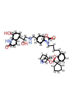 O=C(O[C@H]1CN2CCC1CC2)C1(c2cccc(CCCCn3c(=O)oc4cc(CNC[C@H](O)c5ccc(O)c6[nH]c(=O)ccc56)ccc43)c2)CCCCC1